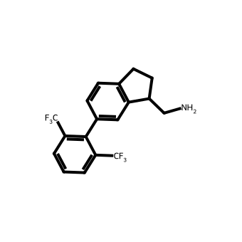 NCC1CCc2ccc(-c3c(C(F)(F)F)cccc3C(F)(F)F)cc21